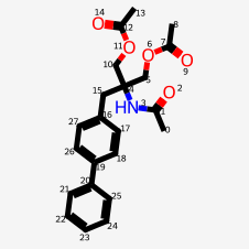 CC(=O)NC(COC(C)=O)(COC(C)=O)Cc1ccc(-c2ccccc2)cc1